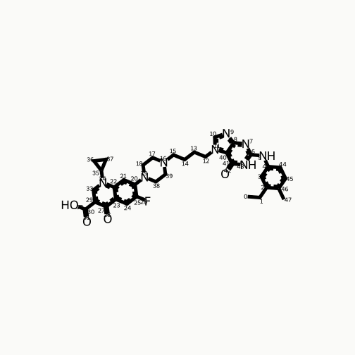 CCc1cc(Nc2nc3ncn(CCCCN4CCN(c5cc6c(cc5F)c(=O)c(C(=O)O)cn6C5CC5)CC4)c3c(=O)[nH]2)ccc1C